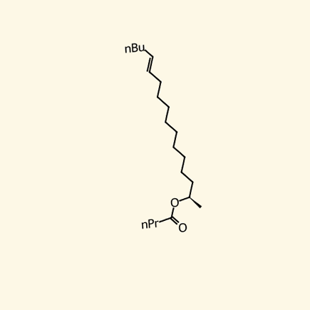 CCCCC=CCCCCCCCCC[C@@H](C)OC(=O)CCC